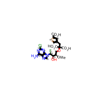 CO[C@H](COC(Cc1csc(C(=O)O)c1)(C(=O)O)C(=O)O)[C@@H](O)[C@H](F)n1cnc2c(N)nc(Cl)nc21